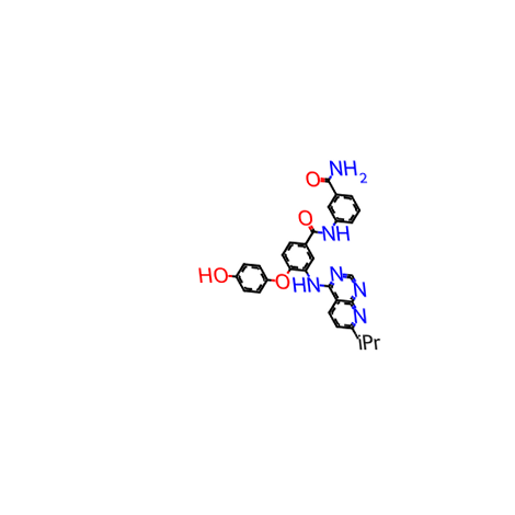 CC(C)c1ccc2c(Nc3cc(C(=O)Nc4cccc(C(N)=O)c4)ccc3Oc3ccc(O)cc3)ncnc2n1